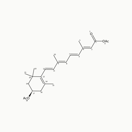 CC(=O)OC(=O)/C=C(C)/C=C/C=C(C)/C=C/C1=C(C)C[C@@H](OC(C)=O)CC1(C)C